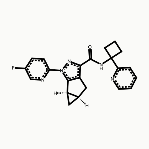 O=C(NC1(c2ccccn2)CCC1)c1nn(-c2ccc(F)cn2)c2c1C[C@H]1C[C@@H]21